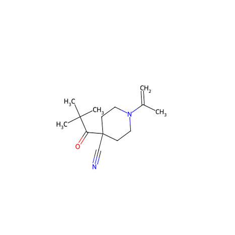 C=C(C)N1CCC(C#N)(C(=O)C(C)(C)C)CC1